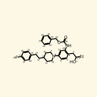 CCC(O)Cc1ccc(N2CCC(CCc3ccc(F)cc3)CC2)cc1NC(=O)OCc1ccccc1